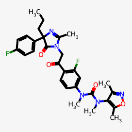 CCCC1(c2ccc(F)cc2)N=C(C)N(CC(=O)c2ccc(N(C)C(=O)N(C)c3c(C)noc3C)cc2F)C1=O